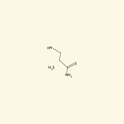 CCCCCC(N)=S.S